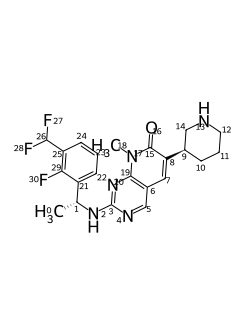 C[C@@H](Nc1ncc2cc([C@@H]3CCCNC3)c(=O)n(C)c2n1)c1cccc(C(F)F)c1F